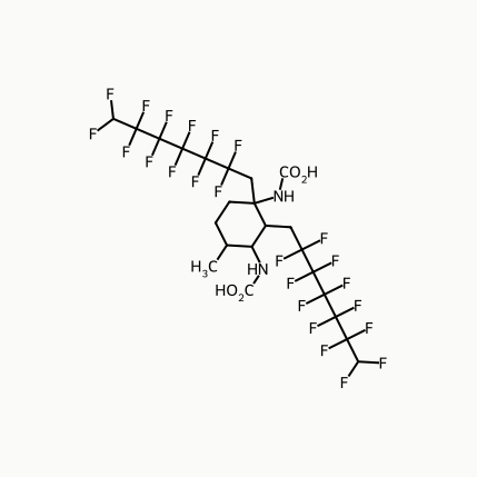 CC1CCC(CC(F)(F)C(F)(F)C(F)(F)C(F)(F)C(F)(F)C(F)F)(NC(=O)O)C(CC(F)(F)C(F)(F)C(F)(F)C(F)(F)C(F)(F)C(F)F)C1NC(=O)O